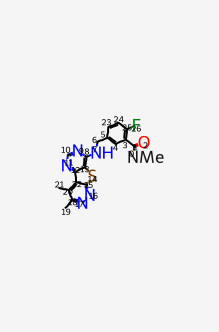 CNC(=O)c1cc(CNc2ncnc3c2sc2nnc(C)c(C)c23)ccc1F